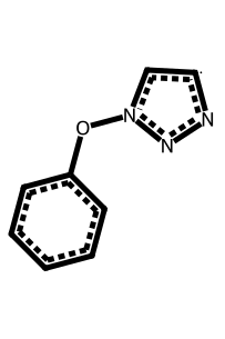 [c]1cn(Oc2ccccc2)nn1